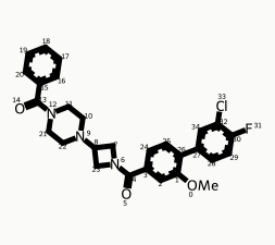 COc1cc(C(=O)N2CC(N3CCN(C(=O)c4ccccc4)CC3)C2)ccc1-c1ccc(F)c(Cl)c1